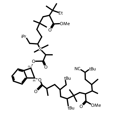 CCC(C)(C)C(CC(C)(C)CCC(CC(C)C)S(C)(C)C(C)C(=O)O[C@H]1c2ccccc2[C@H]1OC(=O)C(C)CC(CC(C(C)(C)C)C(C)(C)CC(C(=O)OC)C(C)C(C)CC(C#N)C(C)(C)C)CC(C)(C)C)C(=O)OC